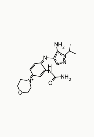 CC(C)n1ncc(/N=C2/C=CC(=[N+]3CCOCC3)C=C2NC(N)=O)c1N